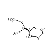 [CH2]CC(S)C1COCCO1